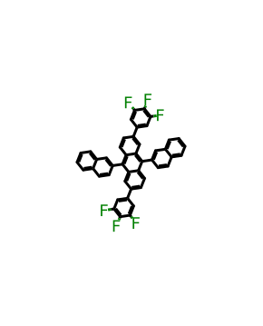 Fc1cc(-c2ccc3c(-c4ccc5ccccc5c4)c4cc(-c5cc(F)c(F)c(F)c5)ccc4c(-c4ccc5ccccc5c4)c3c2)cc(F)c1F